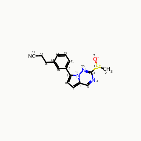 C[S+]([O-])c1ncc2ccc(-c3cccc(CCC#N)c3)n2n1